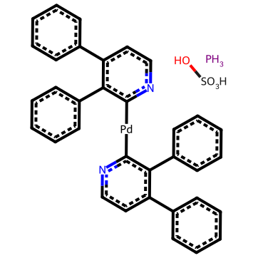 O=S(=O)(O)O.P.c1ccc(-c2ccn[c]([Pd][c]3nccc(-c4ccccc4)c3-c3ccccc3)c2-c2ccccc2)cc1